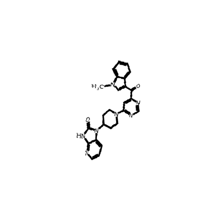 Cn1cc(C(=O)c2cc(N3CCC(n4c(=O)[nH]c5ncccc54)CC3)ncn2)c2ccccc21